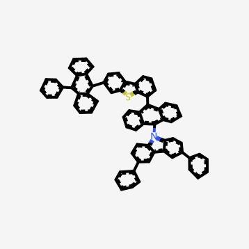 c1ccc(-c2ccc3c(c2)c2cc(-c4ccccc4)ccc2n3-c2c3ccccc3c(-c3cccc4c3sc3cc(-c5c6ccccc6c(-c6ccccc6)c6ccccc56)ccc34)c3ccccc23)cc1